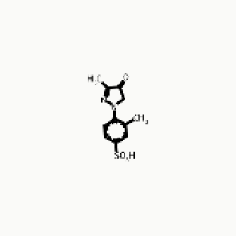 CC1=NN(c2ccc(S(=O)(=O)O)cc2C)CC1=O